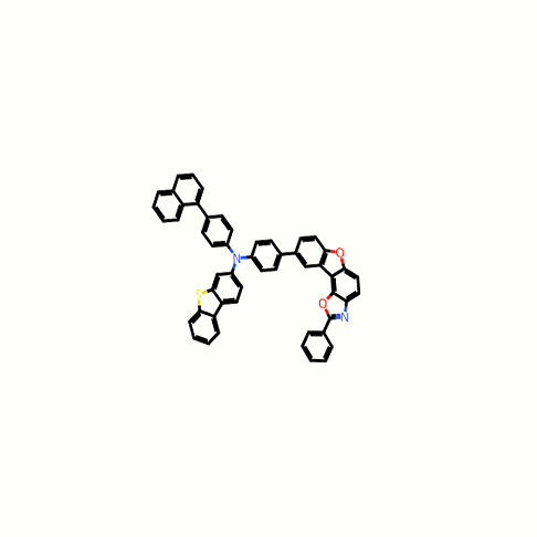 c1ccc(-c2nc3ccc4oc5ccc(-c6ccc(N(c7ccc(-c8cccc9ccccc89)cc7)c7ccc8c(c7)sc7ccccc78)cc6)cc5c4c3o2)cc1